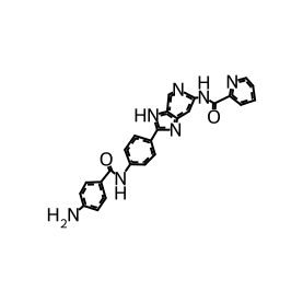 Nc1ccc(C(=O)Nc2ccc(-c3nc4cc(NC(=O)c5ccccn5)ncc4[nH]3)cc2)cc1